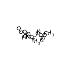 COc1cc2nccc(Cc3ccc(NS(=O)(=O)c4cccc(Oc5ccccc5)c4)cc3F)c2cc1OC